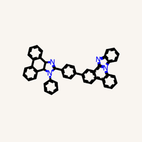 c1ccc(N2C(c3ccc(-c4ccc5c6ccccc6n6c7ccccc7nc6c5c4)cc3)=NC3c4ccccc4-c4ccccc4C32)cc1